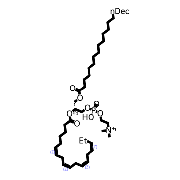 CC/C=C\C/C=C\C/C=C\C/C=C\CCCCC(=O)O[C@H](COC(=O)CCCCCCCCCCCCCCCCCCCCCCC)COP(=O)(O)OCC[N+](C)(C)C